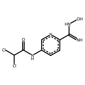 N=C(NO)c1ccc(NC(=O)C(Cl)Cl)cn1